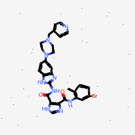 Cc1ccc(Br)cc1NC(=O)c1nc[nH]c1C(=O)Nc1nc2cc(N3CCN(Cc4ccncc4)CC3)ccc2[nH]1